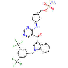 NS(=O)(=O)OC[C@@H]1CC[C@H](Nc2ncncc2C(=O)c2cn(Cc3cc(C(F)(F)F)cc(C(F)(F)F)c3)c3ccccc23)C1